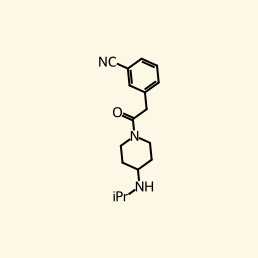 CC(C)NC1CCN(C(=O)Cc2cccc(C#N)c2)CC1